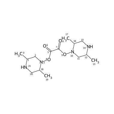 CC1CN(OC(=O)C(=O)ON2CC(C)NCC2C)C(C)CN1